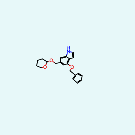 c1ccc(COc2cc(COC3CCCCO3)cc3[nH]ccc23)cc1